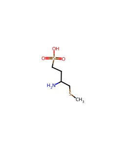 CSCC(N)CCS(=O)(=O)O